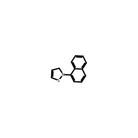 C1=CSN(c2cccc3ccccc23)C1